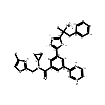 Cc1csc(CN(C(=O)c2cc(-c3cnccn3)cc(-c3nnc(C(C)(N)Cc4ccccc4)o3)c2)C2CC2)n1